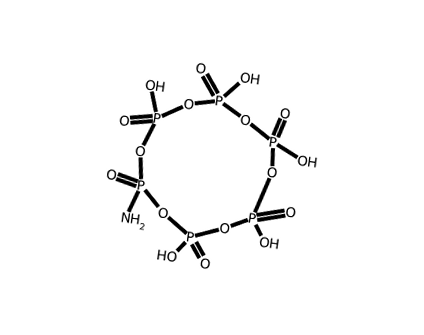 NP1(=O)OP(=O)(O)OP(=O)(O)OP(=O)(O)OP(=O)(O)OP(=O)(O)O1